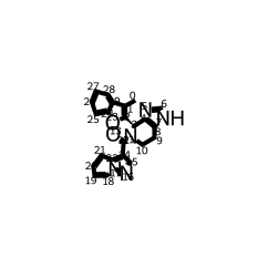 Cc1c([C@H]2c3nc[nH]c3CCN2C(=O)c2cnn3ccccc23)oc2ccccc12